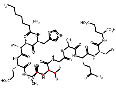 CC(C)C[C@H](NC(=O)[C@H](C)NC(=O)[C@H](CCC(=O)O)NC(=O)[C@@H](NC(=O)[C@H](Cc1c[nH]cn1)NC(=O)[C@@H](N)CCCCN)C(C)C)C(=O)N[C@@H](CCCNC(=N)N)C(=O)N[C@@H](C)C(=O)N[C@@H](CCC(N)=O)C(=O)N[C@@H](CC(C)C)C(=O)N[C@@H](CCC(=O)O)C(=O)O